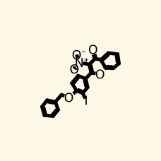 O=c1c([N+](=O)[O-])c(-c2ccc(OCc3ccccc3)c(I)c2)oc2ccccc12